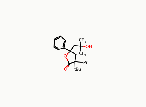 CC(C)C1(C(C)(C)C)CC(CC(O)(C(F)(F)F)C(F)(F)F)(c2ccccc2)OC1=O